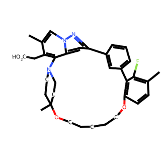 Cc1ccc2c(c1F)-c1cccc(c1)-c1cc3c(c(CC(=O)O)c(C)cn3n1)N1CCC(C)(CC1)OCCCCCO2